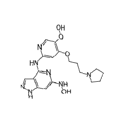 ONc1cc2[nH]ncc2c(Nc2cc(OCCCN3CCCC3)c(OO)cn2)n1